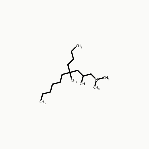 CCCCCCC(C)(CCCC)CC(O)CN(C)C